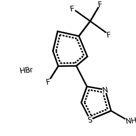 Br.Nc1nc(-c2cc(C(F)(F)F)ccc2F)cs1